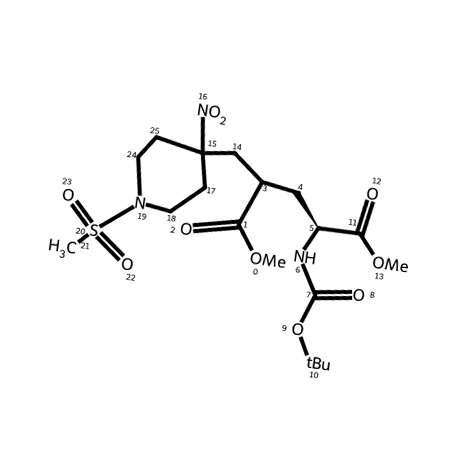 COC(=O)C(C[C@H](NC(=O)OC(C)(C)C)C(=O)OC)CC1([N+](=O)[O-])CCN(S(C)(=O)=O)CC1